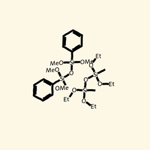 CCO[Si](C)(OCC)O[Si](C)(OCC)OCC.CO[Si](OC)(O[Si](OC)(OC)c1ccccc1)c1ccccc1